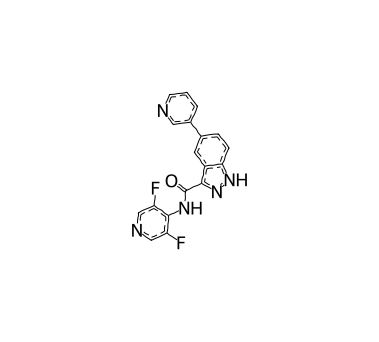 O=C(Nc1c(F)cncc1F)c1n[nH]c2ccc(-c3cccnc3)cc12